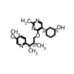 COc1ccc([C@@H](C)[C@H](C)COc2nc(C)ncc2[C@@H]2CCC[C@H](O)C2)nc1